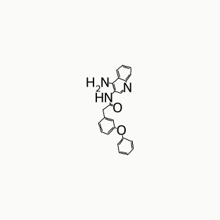 Nc1c(NC(=O)Cc2cccc(Oc3ccccc3)c2)cnc2ccccc12